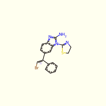 Nc1nc2ccc(/C(=C/Br)c3ccccc3)cc2n1C1=NCCS1